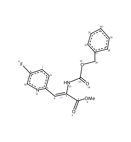 COC(=O)/C(=C/c1ccc(F)cn1)NC(=O)OCc1ccccc1